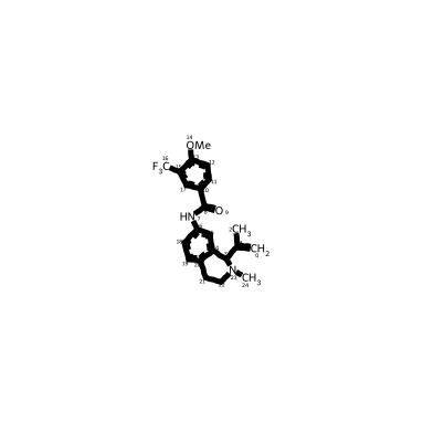 C=C(C)C1c2cc(NC(=O)c3ccc(OC)c(C(F)(F)F)c3)ccc2CCN1C